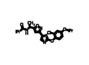 CC(C)Oc1ccc(Oc2ncc(-c3cc(C(C)NC(=O)C(C)C)on3)s2)c(Cl)c1